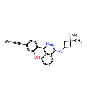 COC1(C)CC(Nc2nnc(-c3ccc(C#CC(C)C)cc3O)c3ccccc23)C1